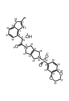 Cc1nc2c([C@H](O)C(=O)N3CC4=C(C3)CN(S(=O)(=O)c3ccc5c(c3)OCCO5)C4)cccc2s1